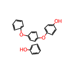 Oc1ccc(Oc2ccc(Oc3ccccc3)cc2)cc1.Oc1ccccc1